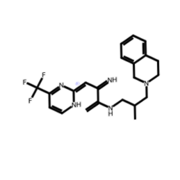 C=C(NCC(C)CN1CCc2ccccc2C1)C(=N)/C=C1/N=C(C(F)(F)F)C=CN1